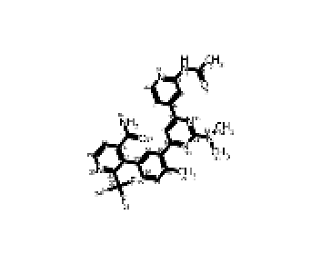 CC(=O)Nc1cc(-c2cc(-c3cc(-c4c(C(N)=O)ccnc4C(F)(F)F)ccc3C)nc(N(C)C)n2)ccn1